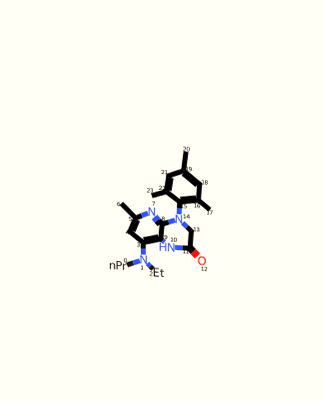 CCCN(CC)c1cc(C)nc2c1NC(=O)CN2c1c(C)cc(C)cc1C